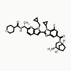 C[C@@H](NC(=O)C1CCOCC1)c1ccc2cc(-c3nc4cc(C(=O)N5C[C@H](N)[C@@H]6CC[C@H]5C6)cc(F)c4n3C3CC3)n(CC3CC3)c2n1